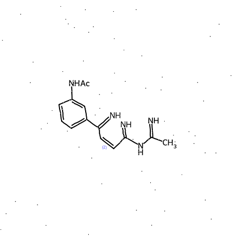 CC(=N)NC(=N)/C=C\C(=N)c1cccc(NC(C)=O)c1